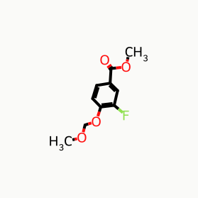 COCOc1ccc(C(=O)OC)cc1F